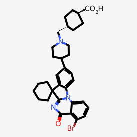 O=c1nc2n(c3cccc(Br)c13)-c1ccc(C3CCN(C[C@H]4CC[C@H](C(=O)O)CC4)CC3)cc1C21CCCCC1